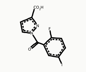 O=C(O)c1ccn(C(=O)c2cc(I)ccc2F)n1